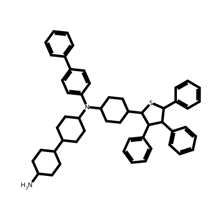 NC1CCC(C2CCC(N(c3ccc(-c4ccccc4)cc3)C3CCC(C4SC(c5ccccc5)C(c5ccccc5)C4c4ccccc4)CC3)CC2)CC1